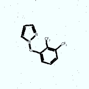 FC(F)(F)c1cccc(On2cc[c]n2)c1C(F)(F)F